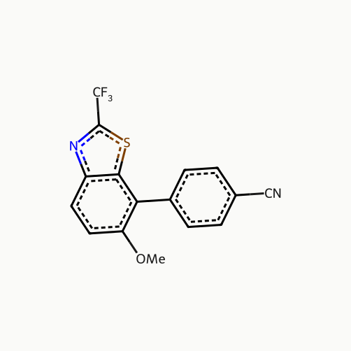 COc1ccc2nc(C(F)(F)F)sc2c1-c1ccc(C#N)cc1